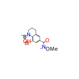 CON(C)C(=O)c1cc(Br)c2c(c1)CCCN2B(C)O